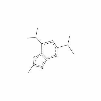 Cc1nc2cc(C(C)C)cc(C(C)C)c2s1